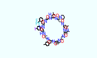 CC[C@H](C)[C@@H]1NC(=O)[C@H](CC(C)C)N(C)C(=O)C[C@@H](C(=O)N2CCCCC2)N(C)C(=O)[C@H](CC(C)C)NC(=O)C(C)(C)N(C)C(=O)[C@H](Cc2ccccc2C(F)(F)F)NC(=O)[C@H](Cc2cccc(I)c2)NC(=O)CN(C)C(=O)[C@H](Cc2ccc(C)cc2)N(C)C(=O)[C@@H]2CCN2C(=O)CN(C)C1=O